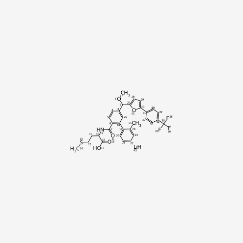 COC(c1ccc(C(=O)NC(CCSC)C(=O)O)c(-c2ccccc2C)c1)c1ccc(-c2ccc(C(F)(F)F)cc2)o1.[LiH]